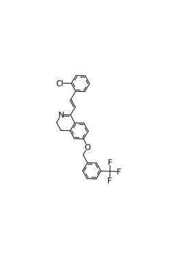 FC(F)(F)c1cccc(COc2ccc3c(c2)CCN=C3/C=C/c2ccccc2Cl)c1